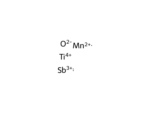 [Mn+2].[O-2].[Sb+3].[Ti+4]